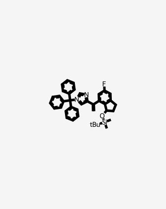 C=C(c1cn(C(c2ccccc2)(c2ccccc2)c2ccccc2)cn1)c1cc(F)cc2c1C(O[Si](C)(C)C(C)(C)C)CC2